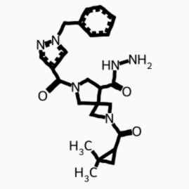 CC1(C)CC1C(=O)N1CC2(CN(C(=O)c3cnn(Cc4ccccc4)c3)CC2C(=O)NN)C1